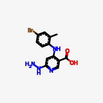 Cc1cc(Br)ccc1Nc1cc(NN)ncc1C(=O)O